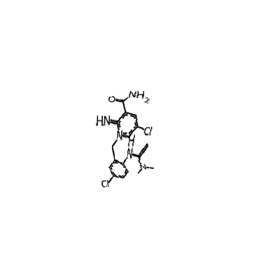 C=C(Nc1ccc(Cl)cc1Cn1cc(Cl)cc(C(N)=O)c1=N)N(C)C